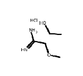 CCO.COCC(=N)N.Cl